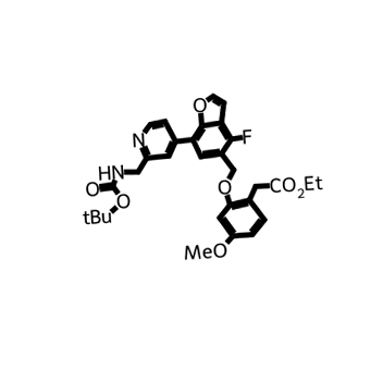 CCOC(=O)Cc1ccc(OC)cc1OCc1cc(-c2ccnc(CNC(=O)OC(C)(C)C)c2)c2occc2c1F